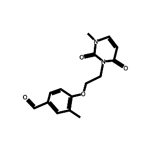 Cc1cc(C=O)ccc1OCCn1c(=O)ccn(C)c1=O